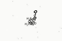 CC(=O)N1CSC(C)(C)C1C(=O)N[C@@H](Cc1ccc(OCc2ccccc2)cc1)C(=O)O